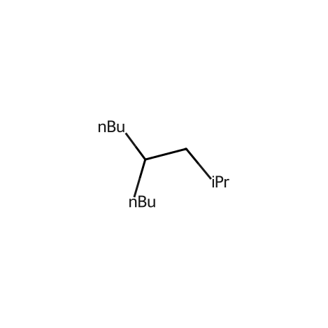 CCCCC(CCCC)CC(C)C